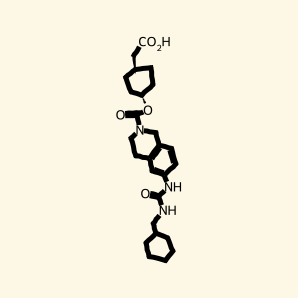 O=C(O)C[C@H]1CC[C@H](OC(=O)N2CCc3cc(NC(=O)NCC4CCCCC4)ccc3C2)CC1